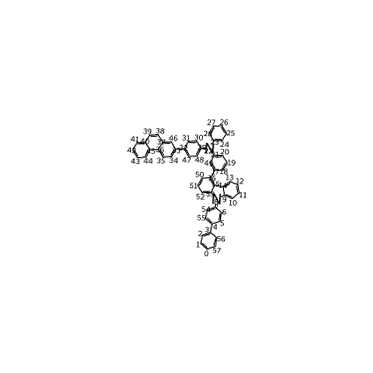 c1ccc(-c2ccc(-n3c4ccccc4c4c(-c5cccc(N(c6ccccc6)c6ccc(-c7ccc8c(ccc9ccccc98)c7)cc6)c5)cccc43)cc2)cc1